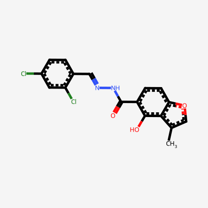 Cc1coc2ccc(C(=O)NN=Cc3ccc(Cl)cc3Cl)c(O)c12